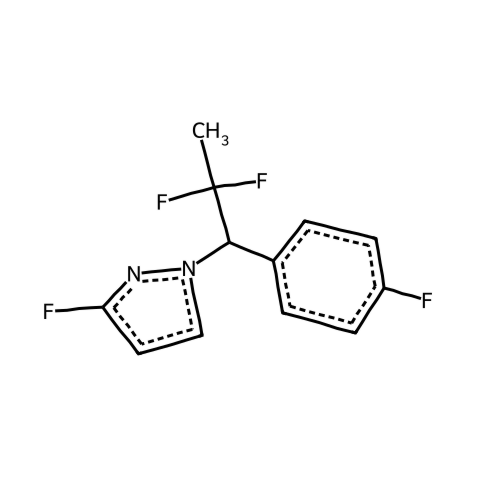 CC(F)(F)C(c1ccc(F)cc1)n1ccc(F)n1